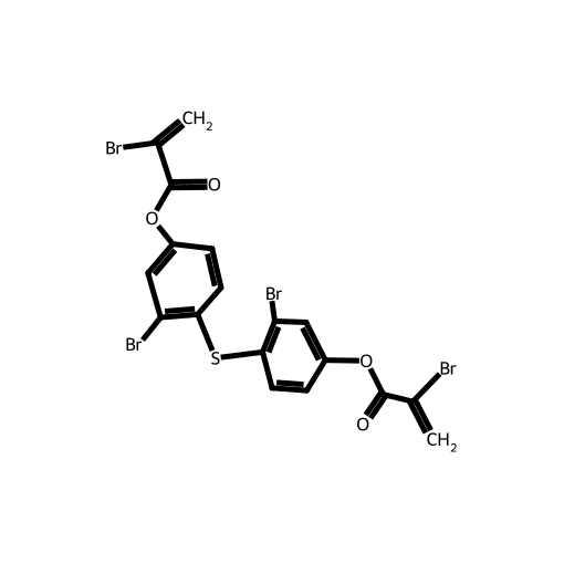 C=C(Br)C(=O)Oc1ccc(Sc2ccc(OC(=O)C(=C)Br)cc2Br)c(Br)c1